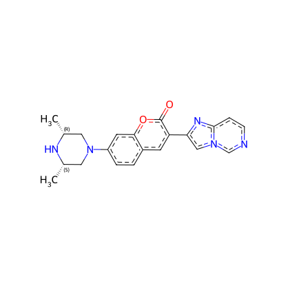 C[C@@H]1CN(c2ccc3cc(-c4cn5cnccc5n4)c(=O)oc3c2)C[C@H](C)N1